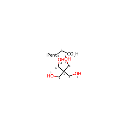 CCCC(C)CC(=O)O.OCC(CO)(CO)CO